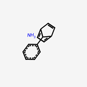 C1=CC2=CC=C1C2c1ccccc1.N